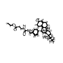 CCOC(=O)CCNC(=O)NCc1ccc([C@H]2C[C@@]3(C)[C@@H](CC[C@@]3(O)C(F)(F)C(F)(F)F)[C@@H]3CCC4=CC(=O)CCC4=C32)cc1